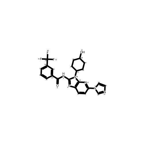 O=C(Nc1nc2ccc(-n3ccnc3)nc2n1C1CCC(O)CC1)c1cccc(C(F)(F)F)c1